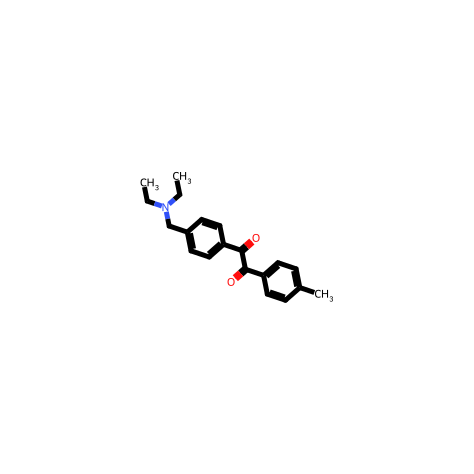 CCN(CC)Cc1ccc(C(=O)C(=O)c2ccc(C)cc2)cc1